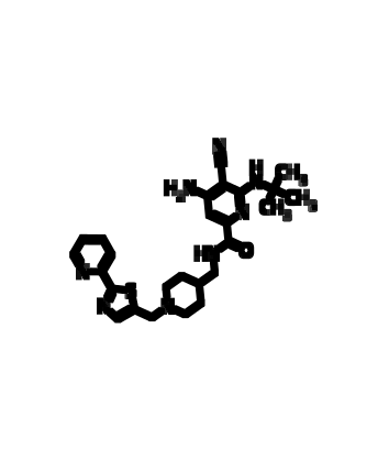 CC(C)(C)Nc1nc(C(=O)NCC2CCN(Cc3cnc(-c4ccccn4)s3)CC2)cc(N)c1C#N